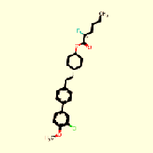 CCCC[C@H](F)C(=O)O[C@H]1CC[C@H](CCc2ccc(-c3ccc(OC)c(Cl)c3)cc2)CC1